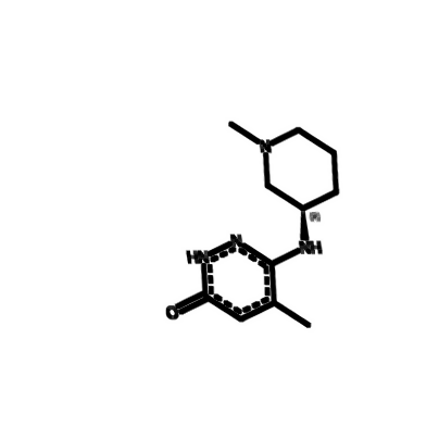 Cc1cc(=O)[nH]nc1N[C@@H]1CCCN(C)C1